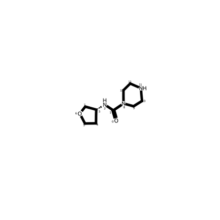 O=C(N[C@@H]1CCOC1)N1CCNCC1